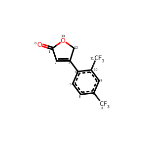 O=C1C=C(c2ccc(C(F)(F)F)cc2C(F)(F)F)CO1